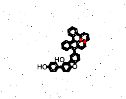 Oc1ccc(-c2ccc3oc4ccc(-c5c6ccccc6c(-c6ccccc6-c6ccccc6)c6ccccc56)cc4c3c2O)cc1